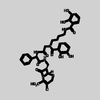 O=C(CN(CCCCNC(=O)c1cccc(O)c1O)C(=O)c1cccc(O)c1O)N[C@@H](C(=O)NC[C@@H]1C(=O)N2C(C(=O)O)=C(Cl)CS[C@H]12)c1ccccc1